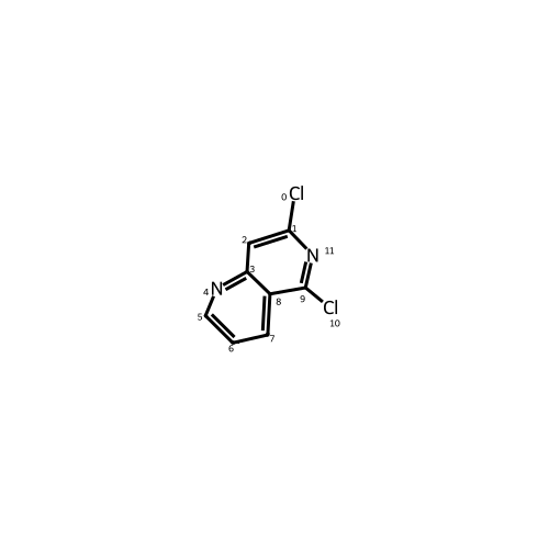 Clc1cc2nc[c]cc2c(Cl)n1